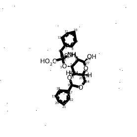 CC(=O)N[C@@H]1[C@@H](OC(C)(Cc2ccccc2)C(=O)O)[C@@H]2OC(c3ccccc3)OC[C@H]2O[C@@H]1O